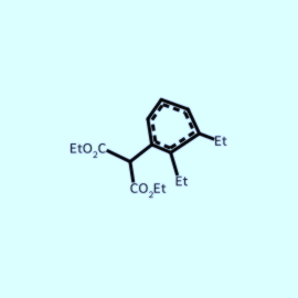 CCOC(=O)C(C(=O)OCC)c1cccc(CC)c1CC